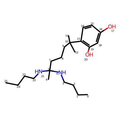 CCCCNC(C)(CCCC(C)(C)c1ccc(O)cc1O)NCCCC